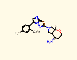 COc1cc(C(F)(F)F)ccc1-c1cnc2sc(N3CC4[C@H](N)CCO[C@H]4C3)nn12